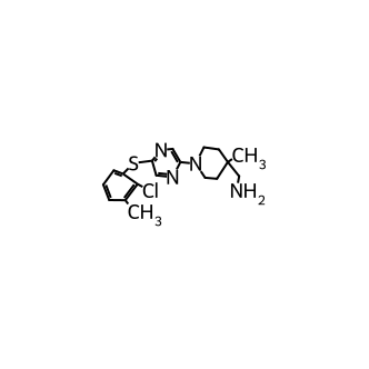 Cc1cccc(Sc2cnc(N3CCC(C)(CN)CC3)cn2)c1Cl